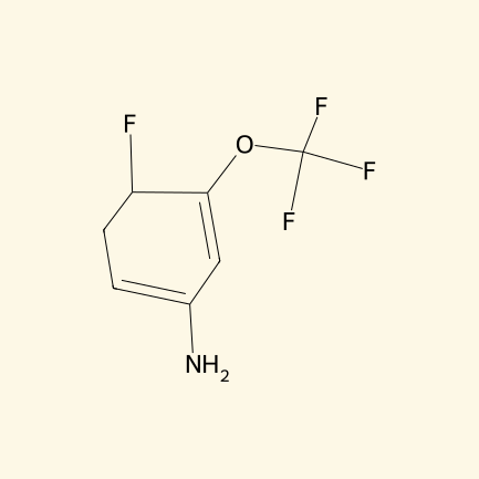 NC1=CCC(F)C(OC(F)(F)F)=C1